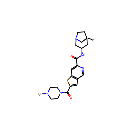 CN1CCN(C(=O)c2cc3cnc(C(=O)N[C@@H]4C[C@H]5CCN(C5)C4)cc3s2)CC1